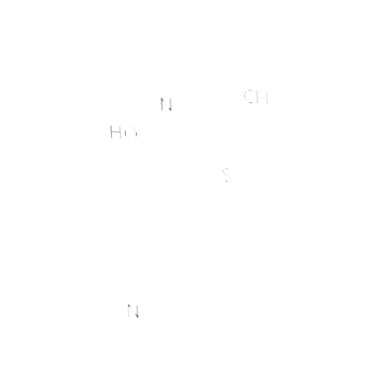 CC(=NO)SCCC#N